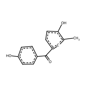 Cc1cc(C(=O)c2ccc(O)cc2)ccc1O